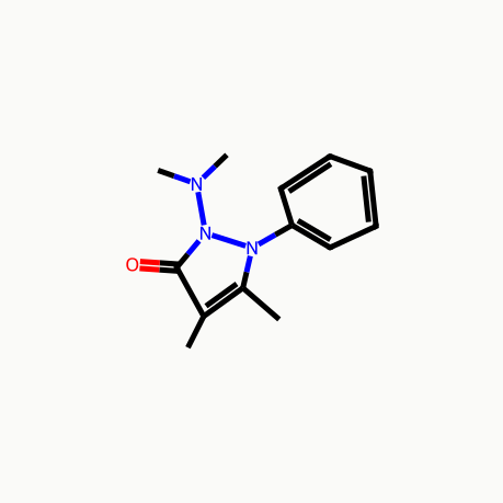 Cc1c(C)n(-c2ccccc2)n(N(C)C)c1=O